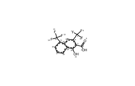 O=C(O)c1c(C(F)(F)F)nc2c(C(F)(F)F)cccc2c1O